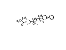 CC(C)C(=O)N1CC=C(C(C)(C)CCC(C)(C)C2=CCN(c3ccccc3)CC2)CC1